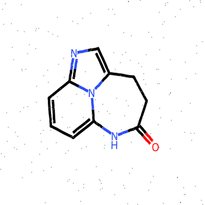 O=C1CCc2cnc3cccc(n23)N1